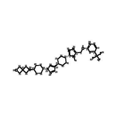 Cn1c(COc2cc(C(F)(F)F)ccn2)nnc1[C@H]1CC[C@H](c2cnn([C@H]3CC[C@H](N4CC5(COC5)C4)CC3)c2)CC1